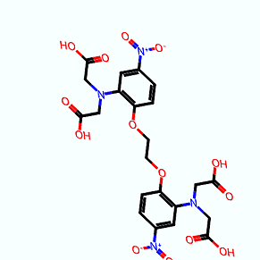 O=C(O)CN(CC(=O)O)c1cc([N+](=O)[O-])ccc1OCCOc1ccc([N+](=O)[O-])cc1N(CC(=O)O)CC(=O)O